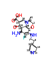 C[C@H]1COc2c(NCCc3ccncc3)c(F)c(N)c3c(=O)c(C(=O)O)cn1c23